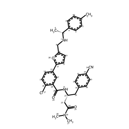 Cc1ccc([C@@H](C)NCc2ccc(-c3ccc(Cl)c(C(=O)N[C@@H](CC(=O)N(C)C)Cc4ccc(C#N)cc4)c3)o2)cc1